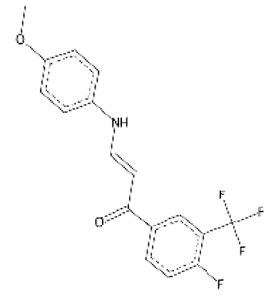 COc1ccc(NC=CC(=O)c2ccc(F)c(C(F)(F)F)c2)cc1